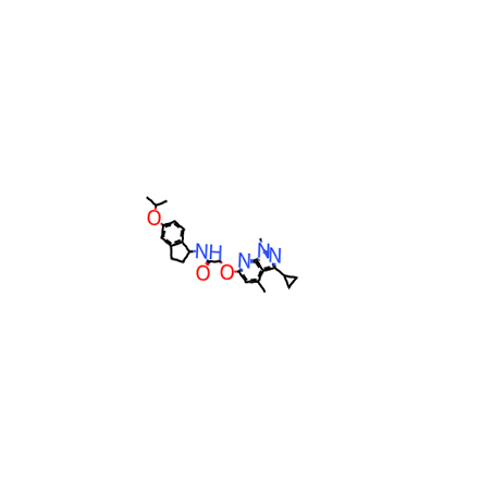 Cc1cc(OCC(=O)NC2CCc3cc(OC(C)C)ccc32)nc2c1c(C1CC1)nn2C